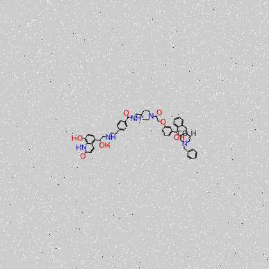 O=C(NCC1CCN(C(=O)COc2cccc([C@@](O)(C(=O)O)c3ccccc3CC3CCN(Cc4ccccc4)CC3)c2)CC1)c1ccc(CCNC[C@H](O)c2ccc(O)c3[nH]c(=O)ccc23)cc1